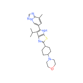 Cc1cc(-c2[nH]c3sc(C4CCC(N5CCOCC5)CC4)nc3c2C(C)C)cn2ncnc12